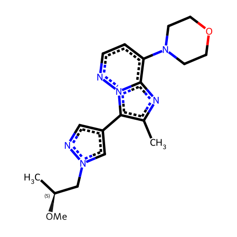 CO[C@@H](C)Cn1cc(-c2c(C)nc3c(N4CCOCC4)ccnn23)cn1